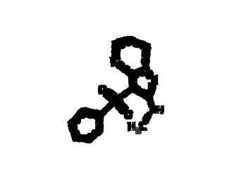 CNc1nn2cccnc2c1S(=O)(=O)c1ccccc1